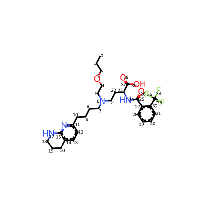 CCCOCCN(CCCCc1ccc2c(n1)NCCC2)CCC(NC(=O)c1ccccc1C(F)(F)F)C(=O)O